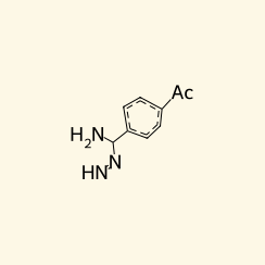 CC(=O)c1ccc(C(N)N=N)cc1